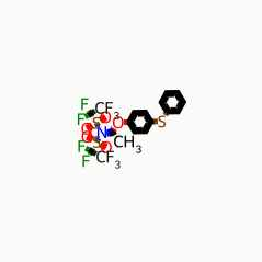 CC(Oc1ccc(Sc2ccccc2)cc1)=[N+](S(=O)(=O)C(F)(F)C(F)(F)F)S(=O)(=O)C(F)(F)C(F)(F)F